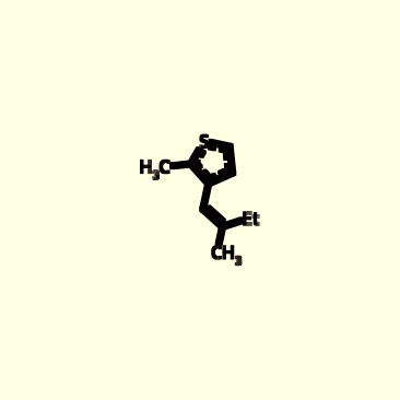 CC/C(C)=C\c1ccsc1C